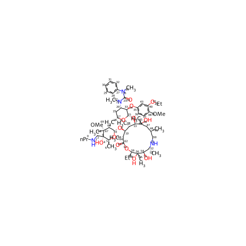 CCCNC[C@]1(O)[C@H](C)O[C@@H](O[C@H]2[C@H](C)[C@@H](O[C@@H]3O[C@H](C)C[C@H](N(C)C(=O)N(C)c4ccccc4)[C@H]3Oc3ccc(OC)c(OCC)c3)[C@](C)(O)C[C@@H](C)CN[C@H](C)[C@@H](O)[C@](C)(O)[C@@H](CC)OC(=O)[C@@H]2C)C[C@@]1(C)OC